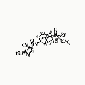 CC(C)(C)n1ncc(C(=O)NC2CCC3CC4CC(NS(C)(=O)=O)(C3)CC42)c1Cl